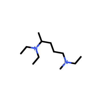 CCN(C)CCCC(C)N(CC)CC